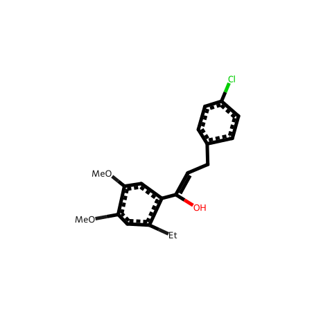 CCc1cc(OC)c(OC)cc1C(O)=CCc1ccc(Cl)cc1